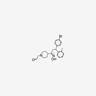 Cc1ccccc1C(C/C(=N/O)C1CCN(CC=O)CC1)c1ccc(Br)cc1